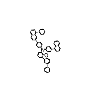 c1ccc(-c2ccc3oc4c(N(c5ccc(-c6ccc7cccc(-c8ccccc8)c7c6)cc5)c5ccc(-c6cccc7ccccc67)cc5)cccc4c3c2)cc1